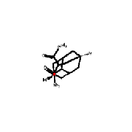 NC(=O)C1C2C[C@H]3CC1C[C@H](C2)C3C(N)=O